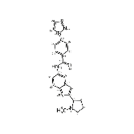 CN1CCCC1c1cn2cc(NC(=O)c3ccc(-n4cccn4)cc3)ccc2n1